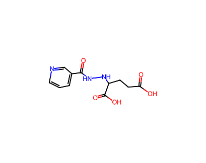 O=C(O)CCC(NNC(=O)c1cccnc1)C(=O)O